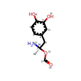 C[C@](N)(Cc1ccc(O)c(O)c1)OC=O